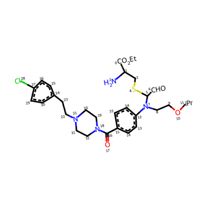 CCOC(=O)C(N)CSC(C=O)N(CCOC(C)C)c1ccc(C(=O)N2CCN(CCc3ccc(Cl)cc3)CC2)cc1